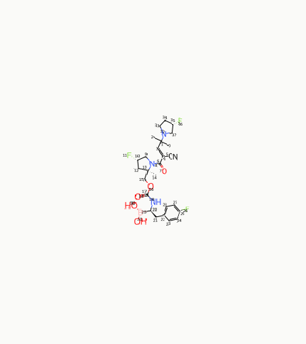 CC(C)(C=C(C#N)C(=O)N1C[C@@H](F)C[C@]1(C)COC(=O)N[C@@H](Cc1ccc(F)cc1)B(O)O)N1CC[C@H](F)C1